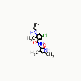 Cc1cc(C)c(CNC(=O)c2cc(Cl)cc(NCCC(C)C)c2C)c(=O)[nH]1